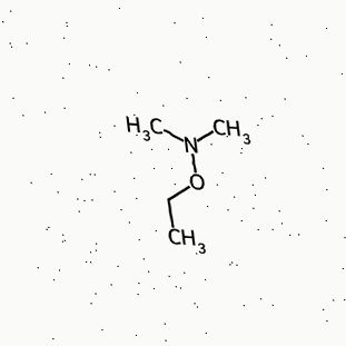 CCON(C)C